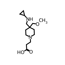 COCC1(CNC2CC2)CCN(CCC(=O)O)CC1